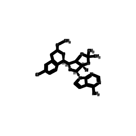 COC1Cc2cc(Cl)ccc2[C@H]([C@H]2O[C@@H](n3ccc4c(N)ncnc43)[C@@H]3OC(C)(C)OC32)O1